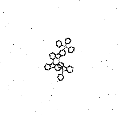 c1ccc(-n2c3ccccc3c3cc(-n4c5ccc([Si](c6ccccc6)(c6ccccc6)c6ccccc6)cc5c5cccc(-n6c7ccccc7c7ccccc76)c54)ccc32)cc1